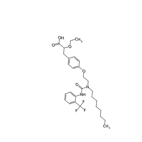 CCCCCCCCN(CCOc1ccc(CC(OCC)C(=O)O)cc1)C(=O)Nc1ccccc1C(F)(F)F